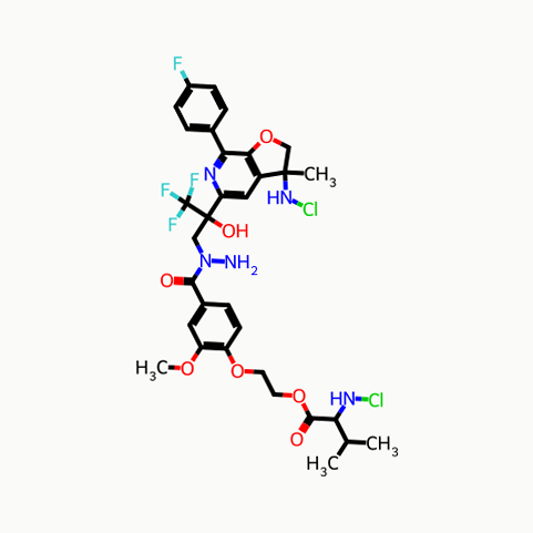 COc1cc(C(=O)N(N)CC(O)(c2cc3c(c(-c4ccc(F)cc4)n2)OCC3(C)NCl)C(F)(F)F)ccc1OCCOC(=O)C(NCl)C(C)C